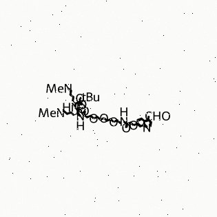 CNCCCC[C@H](NC(=O)CCOCCOCCOCCNC(=O)COc1ccc2c(C=O)ccnc2c1)C(=O)N[C@@H](CCCCNC)C(=O)OC(C)(C)C